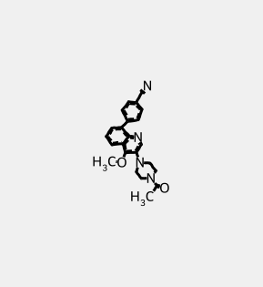 COc1c(N2CCN(C(C)=O)CC2)cnc2c(-c3ccc(C#N)cc3)cccc12